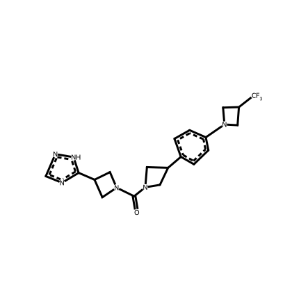 O=C(N1CC(c2ccc(N3CC(C(F)(F)F)C3)cc2)C1)N1CC(c2ncn[nH]2)C1